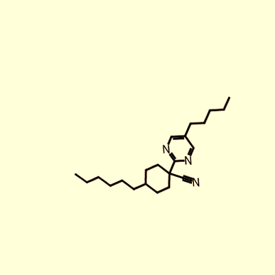 CCCCCCC1CCC(C#N)(c2ncc(CCCCC)cn2)CC1